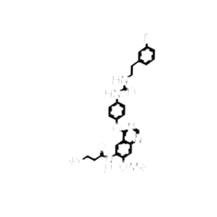 COc1cc2ncnc(Oc3ccc(NC(=O)NCCc4cccc(F)c4)cc3)c2cc1NC(=O)CCC(C)C